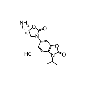 CC(C)n1c(=O)oc2cc(N3C[C@H](CN)OC3=O)ccc21.Cl